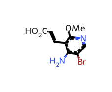 COc1ncc(Br)c(N)c1C=CC(=O)O